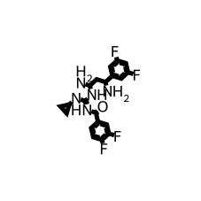 NC(CC(N)c1cc(F)cc(F)c1)N/C(=N\C(=O)c1ccc(F)c(F)c1)NC1CC1